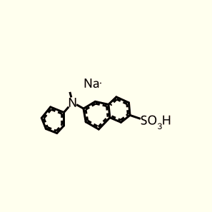 CN(c1ccccc1)c1ccc2cc(S(=O)(=O)O)ccc2c1.[Na]